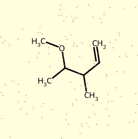 C=CC(C)C(C)OC